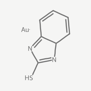 SC1=NC2C=CC=CC2=N1.[Au]